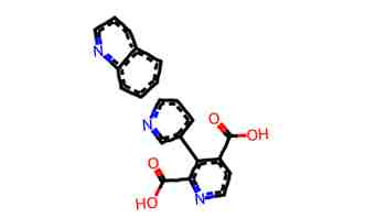 O=C(O)c1ccnc(C(=O)O)c1-c1cccnc1.c1ccc2ncccc2c1